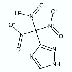 O=[N+]([O-])C(c1nc[nH]n1)([N+](=O)[O-])[N+](=O)[O-]